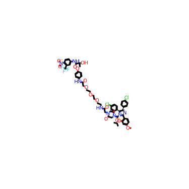 COc1ccc(C2=N[C@H](c3ccc(Cl)cc3)[C@H](c3ccc(Cl)cc3)N2C(=O)N2CCN(CC(=O)NCCOCCOCCOCC(=O)Nc3ccc(OC[C@](C)(O)C(=O)Nc4ccc([N+](=O)[O-])c(C(F)(F)F)c4)cc3)C(=O)C2)c(OC(C)C)c1